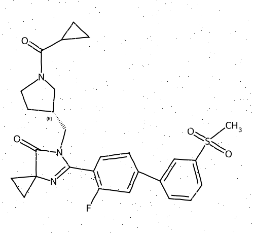 CS(=O)(=O)c1cccc(-c2ccc(C3=NC4(CC4)C(=O)N3C[C@@H]3CCN(C(=O)C4CC4)C3)c(F)c2)c1